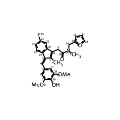 COc1cc(C=C2C(C)=C(CC(=O)N(C)Cc3ccco3)c3cc(F)ccc32)cc(OC)c1O